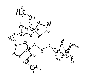 CCCC[N+]1(COC)CCCC1.COC[N+]1(CC(C)C)CCCC1.[F][Al-]([F])([F])[F]